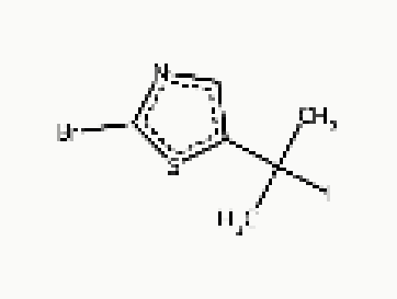 CC(C)(I)c1cnc(Br)s1